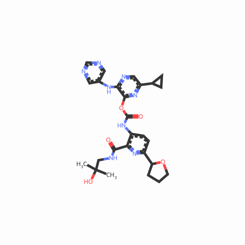 CC(C)(O)CNC(=O)c1nc(C2CCCO2)ccc1NC(=O)Oc1nc(C2CC2)cnc1Nc1cncnc1